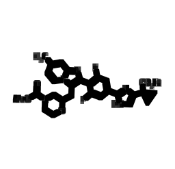 CCOC(=O)C1(c2c[nH]c(-c3cc(F)c(-c4nc5cc(C)ccn5c4CC4CN(C(=O)OC)CCO4)c(F)c3)n2)CC1